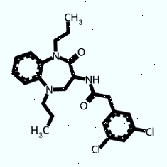 CCCN1CC(NC(=O)Cc2cc(Cl)cc(Cl)c2)C(=O)N(CCC)c2ccccc21